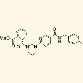 COC(=O)c1ccccc1C(=O)N1CCCN(c2ccc(C(=O)NCc3ccc(C)cc3)cn2)C1